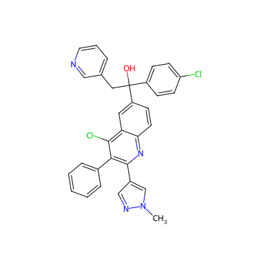 Cn1cc(-c2nc3ccc(C(O)(Cc4cccnc4)c4ccc(Cl)cc4)cc3c(Cl)c2-c2ccccc2)cn1